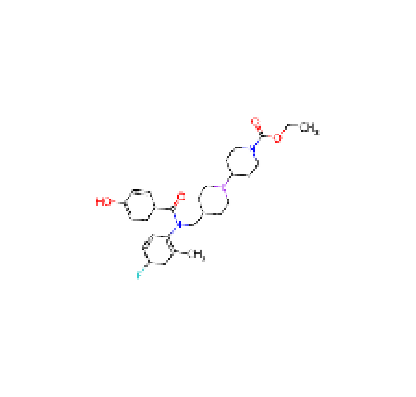 CCOC(=O)N1CCC(I2CCC(CN(C(=O)C3C=CC(O)=CC3)C3=C(C)CC(F)C=C3)CC2)CC1